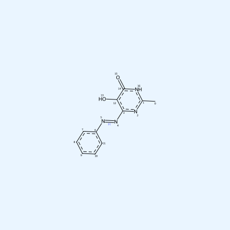 Cc1nc(/N=N/c2ccccc2)c(O)c(=O)[nH]1